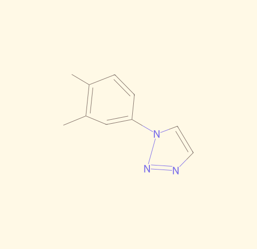 Cc1ccc(-n2ccnn2)cc1C